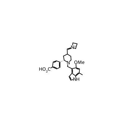 COc1cc(C)c2[nH]ccc2c1CN1CCC(C=[N+]2CCC2)C[C@H]1c1ccc(C(=O)O)cc1